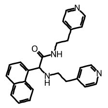 O=C(NCCc1ccncc1)C(NCCc1ccncc1)c1cccc2ccccc12